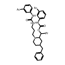 CC(=O)c1cccc(NC(=O)NCCCN2CCC(Cc3ccccc3)CC2C(OC(=O)Nc2cccc(C(C)=O)c2)C(C)C)c1